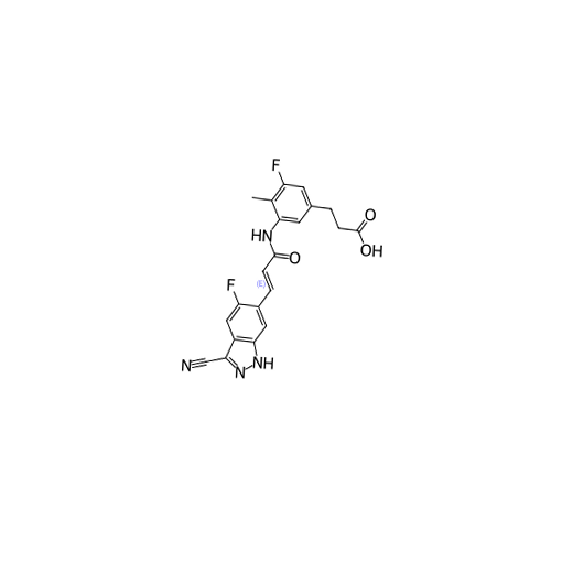 Cc1c(F)cc(CCC(=O)O)cc1NC(=O)/C=C/c1cc2[nH]nc(C#N)c2cc1F